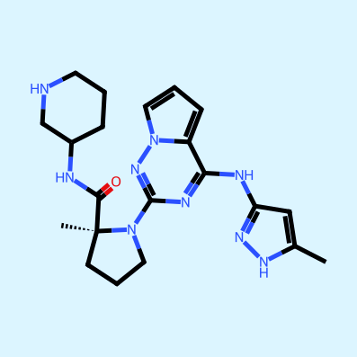 Cc1cc(Nc2nc(N3CCC[C@@]3(C)C(=O)NC3CCCNC3)nn3cccc23)n[nH]1